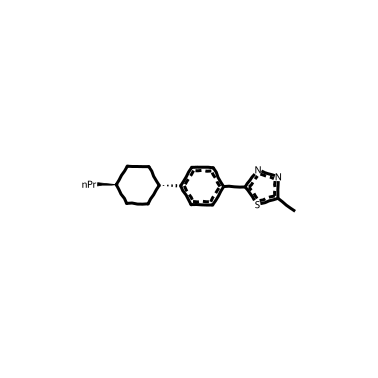 CCC[C@H]1CC[C@H](c2ccc(-c3nnc(C)s3)cc2)CC1